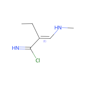 CC/C(=C\NC)C(=N)Cl